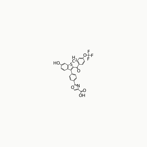 Cc1cc(OC(F)(F)F)ccc1C(=O)c1sc2cc(O)ccc2c1-c1ccc(-c2nc(C(=O)O)co2)cc1